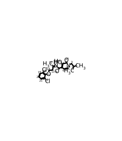 CC(C)Cn1ccc(C(=O)N[C@H](C)CCOc2c(Cl)cccc2Cl)c(O)c1=O